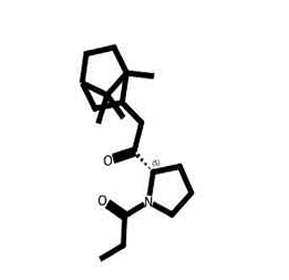 CCC(=O)N1CCC[C@H]1C(=O)CC1CC2CCC1(C)C2(C)C